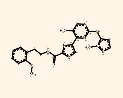 COc1ccccc1CCNC(=O)c1nc(-c2nc(Nc3ccnn3C)ncc2C)co1